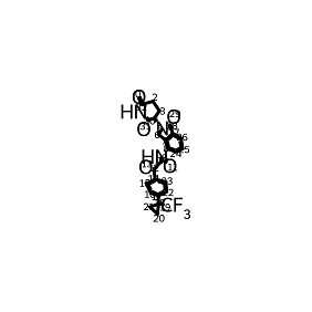 O=C1CCC(N2Cc3c(NC(=O)C(=O)c4ccc(C5(C(F)(F)F)CC5)cc4)cccc3C2=O)C(=O)N1